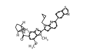 COc1cc(C(=O)N2C[C@H]3CC[C@@H]2[C@@H]3N)cc2nc(-c3cc4ccc(-c5ccc6scnc6c5)nc4n3CC3CC3)n(C)c12